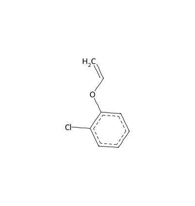 C=COc1ccccc1Cl